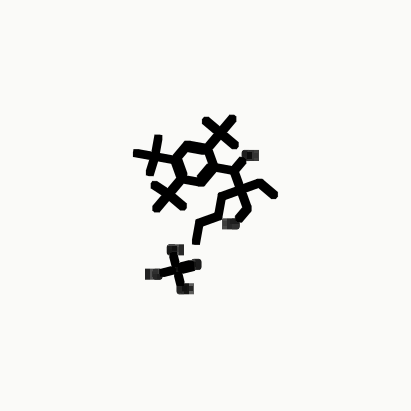 CCCCC(CC)(CO)C(O)c1cc(C(C)(C)C)c(C(C)(C)C)cc1C(C)(C)C.O=P(O)(O)O